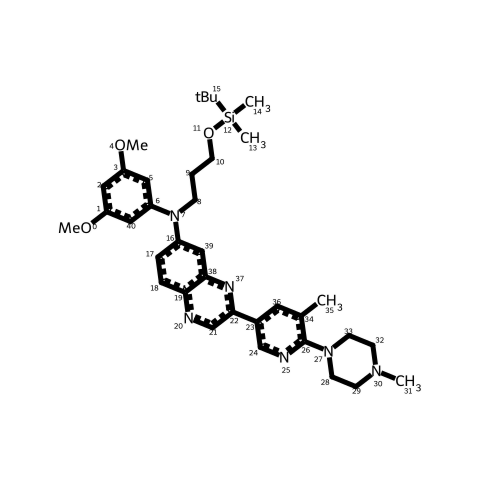 COc1cc(OC)cc(N(CCCO[Si](C)(C)C(C)(C)C)c2ccc3ncc(-c4cnc(N5CCN(C)CC5)c(C)c4)nc3c2)c1